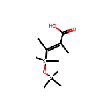 CC(C(=O)O)=C(C)[Si](C)(C)O[Si](C)(C)C